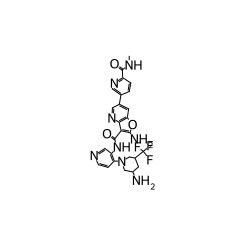 CNC(=O)c1ccc(-c2cnc3c(C(=O)Nc4cnccc4N4CC(N)CC(C(F)(F)F)C4)c(N)oc3c2)cn1